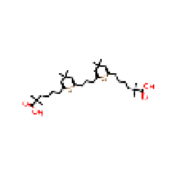 CC1(C)C=C(CCCCC(C)(C)C(=O)O)SC(CCCC2=CC(C)(C)C=C(CCCCC(C)(C)C(=O)O)S2)=C1